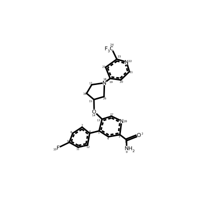 NC(=O)c1cc(-c2ccc(F)cc2)c(OC2CCN(c3ccnc(C(F)(F)F)c3)C2)cn1